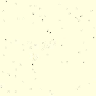 CC(C)S(=O)(=O)NC1CCN(C(=O)Nc2ccc(OC3CCOCC3)cc2)CC1